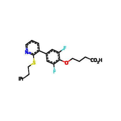 CC(C)CCSc1ncccc1-c1cc(F)c(OCCCC(=O)O)c(F)c1